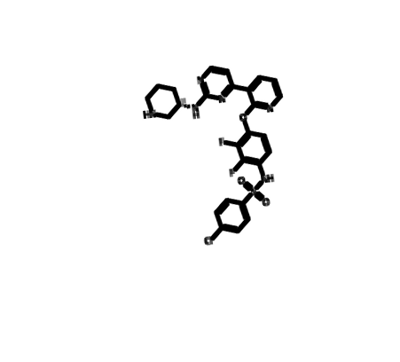 O=S(=O)(Nc1ccc(Oc2ncccc2-c2ccnc(N[C@H]3CCCNC3)n2)c(F)c1F)c1ccc(Cl)cc1